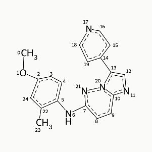 COc1ccc(Nc2ccc3ncc(-c4ccncc4)n3n2)c(C)c1